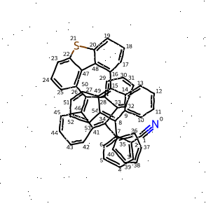 N#Cc1ccccc1-c1c2ccccc2c(-c2cccc3sc4cccc(-c5c6ccccc6c(-c6ccccc6)c6ccccc56)c4c23)c2ccccc12